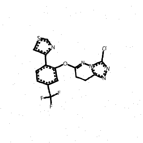 FC(F)(F)c1ccc(-c2cscn2)c(OC2=Nn3c(Cl)nnc3CC2)c1